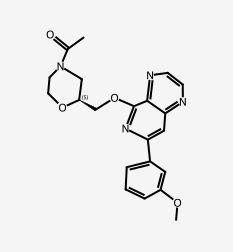 COc1cccc(-c2cc3nccnc3c(OC[C@@H]3CN(C(C)=O)CCO3)n2)c1